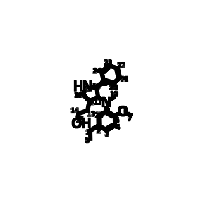 CCc1ccc(OC)c(N(C)C2C(CCO)CNC2c2ccccc2)c1